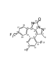 Cc1nn2c(c1-c1ccc(F)cc1F)C(c1ccc(C(F)(F)F)cc1)=NC2=O